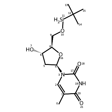 Cc1cn([C@H]2C[C@H](O)[C@@H](CO[SiH2]C(C)(C)C)O2)c(=O)[nH]c1=O